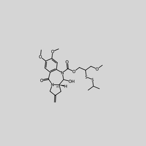 C=C1C[C@H]2C(O)N(C(=O)OCC(COC)SSC(C)C)c3cc(OC)c(OC)cc3C(=O)N2C1